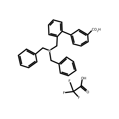 O=C(O)C(F)(F)F.O=C(O)c1cccc(-c2ccccc2CN(Cc2ccccc2)Cc2ccccc2)c1